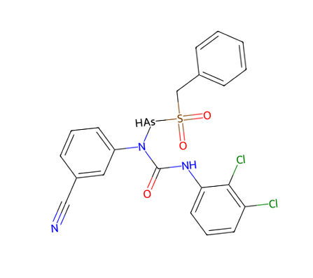 N#Cc1cccc(N([AsH]S(=O)(=O)Cc2ccccc2)C(=O)Nc2cccc(Cl)c2Cl)c1